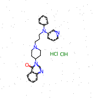 Cl.Cl.O=c1c2ccccc2ncn1C1CCN(CCCN(c2ccccc2)c2cccnc2)CC1